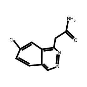 NC(=O)Cc1nncc2ccc(Cl)cc12